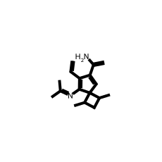 C=CC1=C(N=C(C)C)C2(C=C1C(=C)N)C(C)CC2C